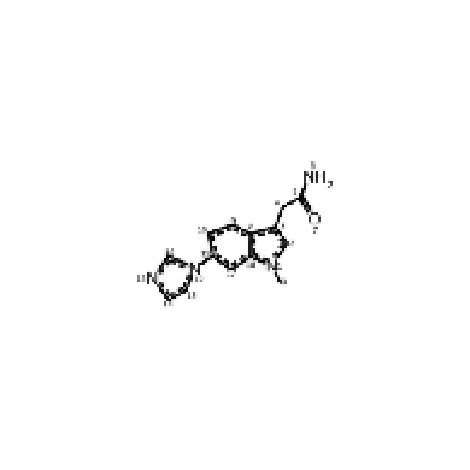 Cn1cc(CC(N)=O)c2ccc(-n3ccnc3)cc21